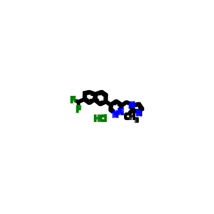 Cc1nccn1Cc1cc(-c2ccc3ccc(C(F)F)cc3c2)cnn1.Cl